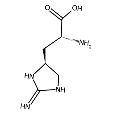 N=C1NC[C@H](C[C@@H](N)C(=O)O)N1